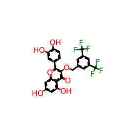 O=c1c(OCc2cc(C(F)(F)F)cc(C(F)(F)F)c2)c(-c2ccc(O)c(O)c2)oc2cc(O)cc(O)c12